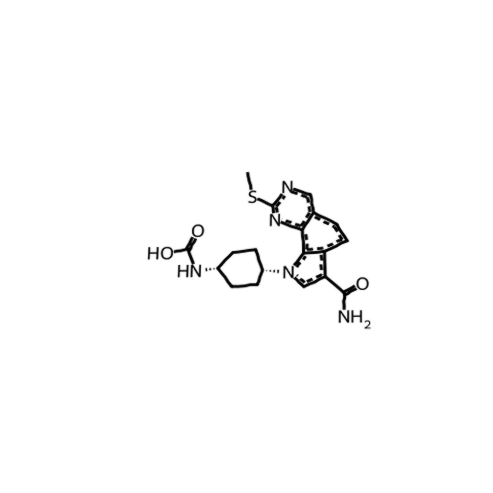 CSc1ncc2ccc3c(C(N)=O)cn([C@H]4CC[C@@H](NC(=O)O)CC4)c3c2n1